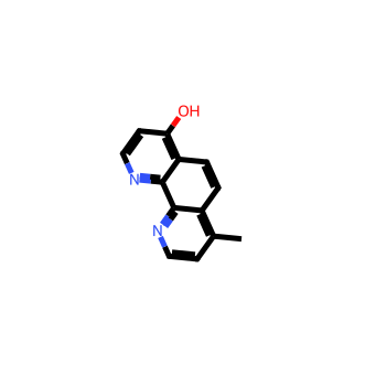 Cc1ccnc2c1ccc1c(O)ccnc12